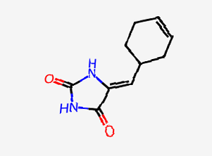 O=C1NC(=O)C(=CC2CC=CCC2)N1